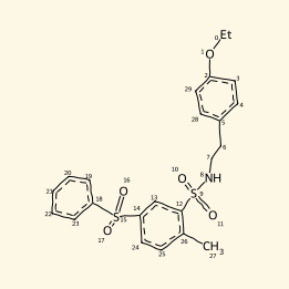 CCOc1ccc(CCNS(=O)(=O)c2cc(S(=O)(=O)c3ccccc3)ccc2C)cc1